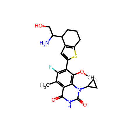 COc1c(-c2cc3c(s2)CCCC3C(N)CO)c(F)c(C)c2c(=O)[nH]c(=O)n(C3CC3)c12